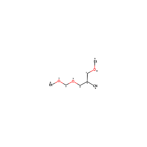 CCOCOCC(C#N)COCC